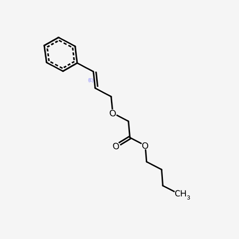 CCCCOC(=O)COC/C=C/c1ccccc1